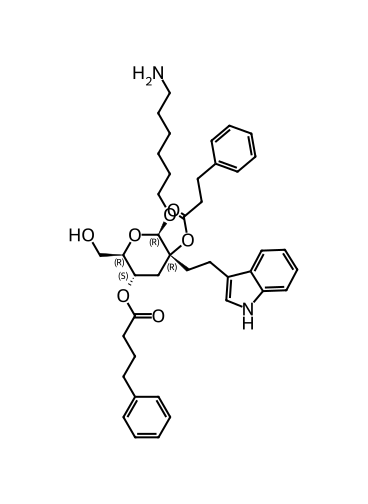 NCCCCCCO[C@@H]1O[C@H](CO)[C@@H](OC(=O)CCCc2ccccc2)C[C@@]1(CCc1c[nH]c2ccccc12)OC(=O)CCc1ccccc1